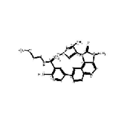 COCCNC(=O)c1cc(-c2ccc3ncc4c(c3c2)n(-c2cn(C)nc2C)c(=O)n4C)cnc1N